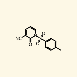 Cc1ccc(S(=O)(=O)n2cccc(C#N)c2=O)cc1